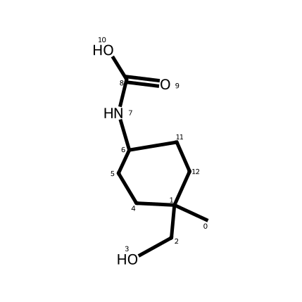 CC1(CO)CCC(NC(=O)O)CC1